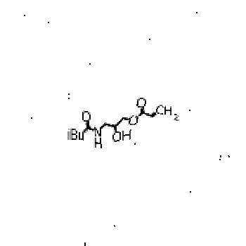 C=CC(=O)OCC(O)CNC(=O)C(C)CC